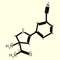 N#Cc1cccc(C2=CC(N)(C(N)=O)CS2)c1